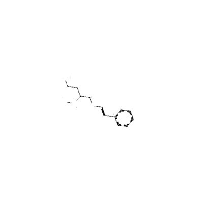 CCCC(CO[C]=Cc1cc[c]cc1)OC